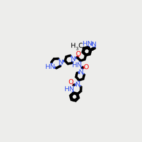 Cc1cc(CC(NC(=O)N2CCC(N3CCc4ccccc4NC3=O)CC2)C(=O)N2CCC(N3CCCNCC3)CC2)cc2cn[nH]c12